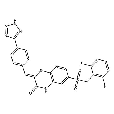 O=C1Nc2cc(S(=O)(=O)Cc3c(F)cccc3F)ccc2S/C1=C\c1ccc(-c2nn[nH]n2)cc1